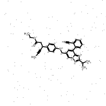 CC#CC(CC(=O)OCC)c1ccc(OCc2cc(-c3ccccc3C#N)c3nc(C(C)C)nn3c2)cc1